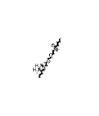 CCCCC(=O)NCCOCCOCCN(N)/C=C(\N)CCC